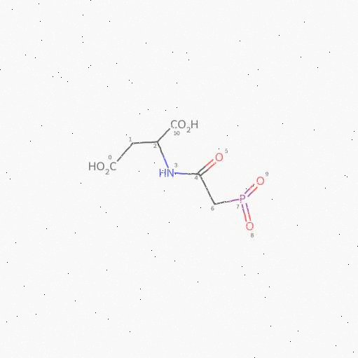 O=C(O)CC(NC(=O)CP(=O)=O)C(=O)O